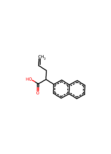 C=CCC(C(=O)O)c1ccc2ccccc2c1